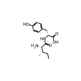 CC[C@H](C)[C@H](N)C(=O)N[C@H](Cc1ccc(O)cc1)C(=O)O